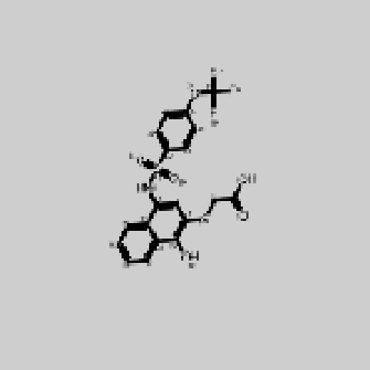 O=C(O)CSc1cc(NS(=O)(=O)c2ccc(OC(F)(F)F)cc2)c2ccccc2c1O